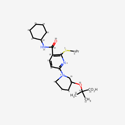 CCCSc1nc(N2CCCC(OC(C)(C)C(=O)O)C2)ccc1C(=O)NC1CCCCC1